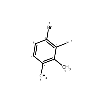 Cc1c(C(F)(F)F)ccc(Br)c1F